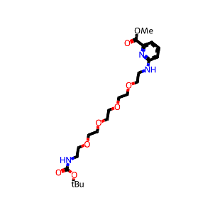 COC(=O)c1cccc(NCCOCCOCCOCCOCCNC(=O)OC(C)(C)C)n1